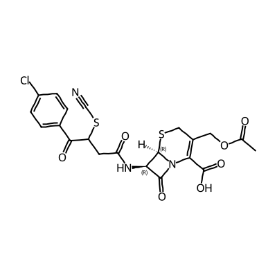 CC(=O)OCC1=C(C(=O)O)N2C(=O)[C@@H](NC(=O)CC(SC#N)C(=O)c3ccc(Cl)cc3)[C@H]2SC1